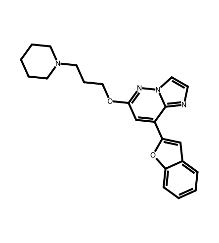 c1ccc2oc(-c3cc(OCCCN4CCCCC4)nn4ccnc34)cc2c1